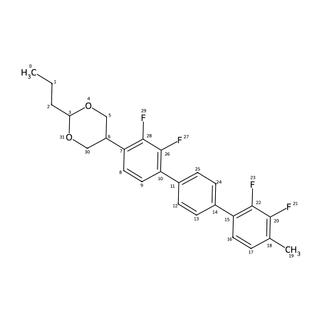 CCCC1OCC(c2ccc(-c3ccc(-c4ccc(C)c(F)c4F)cc3)c(F)c2F)CO1